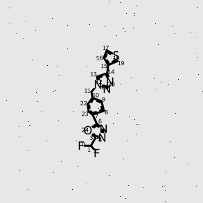 FC(F)c1nnc(-c2ccc(Cn3cc(-c4ccsc4)nn3)cc2)o1